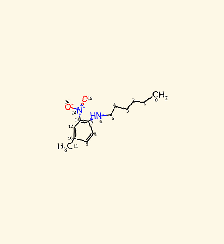 CCCCCCNc1ccc(C)cc1[N+](=O)[O-]